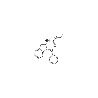 CCOC(=O)NC1Cc2ccccc2C1Oc1ccccc1